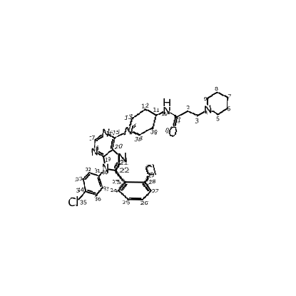 O=C(CCN1CCCCC1)NC1CCN(c2ncnc3c2nc(-c2ccccc2Cl)n3-c2ccc(Cl)cc2)CC1